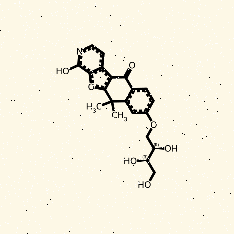 CC1(C)c2cc(OC[C@@H](O)[C@H](O)CO)ccc2C(=O)c2c1oc1c(O)nccc21